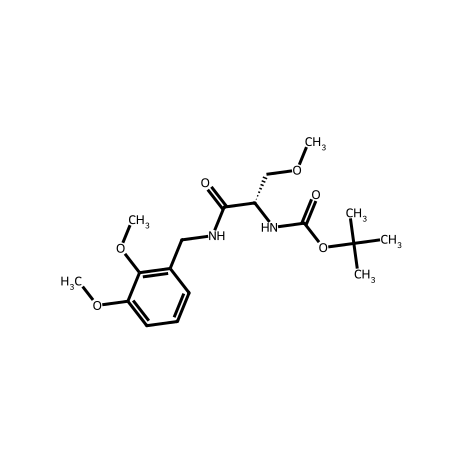 COC[C@H](NC(=O)OC(C)(C)C)C(=O)NCc1cccc(OC)c1OC